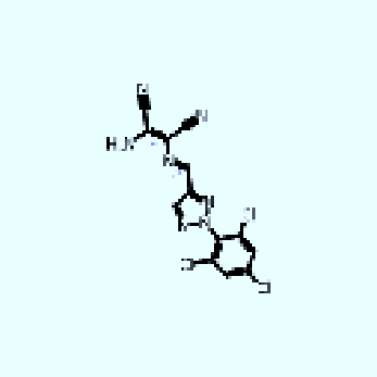 N#C/C(N)=C(C#N)/N=C/c1cnn(-c2c(Cl)cc(Cl)cc2Cl)n1